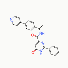 CC(NC(=O)c1cc(=O)[nH]c(-c2ccccc2)n1)c1ccc(-c2ccncc2)cc1